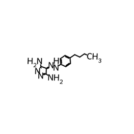 CCCCc1ccc(NN=C2C(N)=NN=C2N)cc1